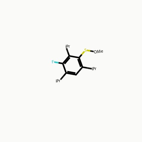 COSc1c(C(C)C)cc(C(C)C)c(F)c1C(C)C